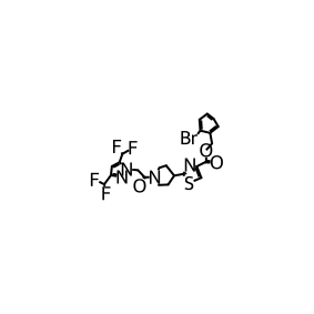 O=C(OCc1ccccc1Br)c1csc(C2CCN(C(=O)Cn3nc(C(F)F)cc3C(F)F)CC2)n1